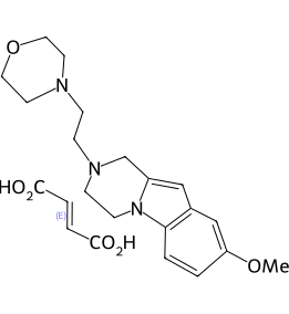 COc1ccc2c(c1)cc1n2CCN(CCN2CCOCC2)C1.O=C(O)/C=C/C(=O)O